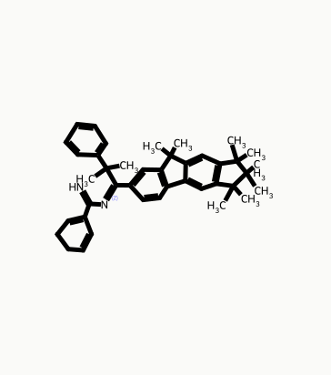 CC(C)(/C(=N\C(=N)C1=CCCC=C1)c1ccc2c(c1)C(C)(C)c1cc3c(cc1-2)C(C)(C)C(C)(C)C3(C)C)c1ccccc1